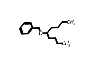 CCCCC(CCCC)OCc1ccccc1